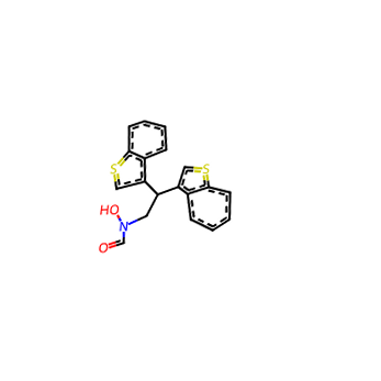 O=CN(O)CC(c1csc2ccccc12)c1csc2ccccc12